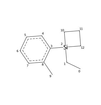 CC[Si]1(c2ccccc2C)CCC1